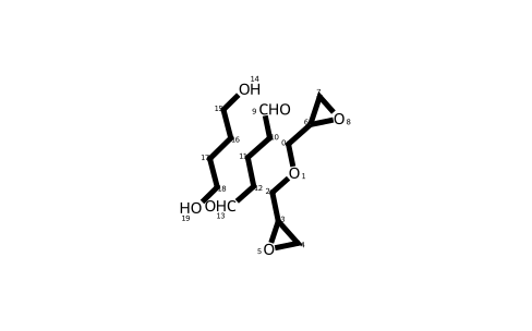 C(OCC1CO1)C1CO1.O=CCCCC=O.OCCCCO